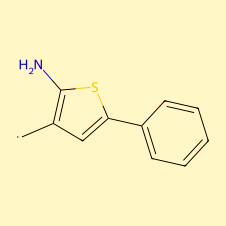 [CH2]c1cc(-c2ccccc2)sc1N